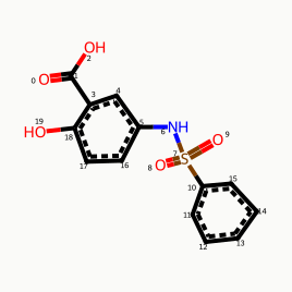 O=C(O)c1cc(NS(=O)(=O)c2ccccc2)ccc1O